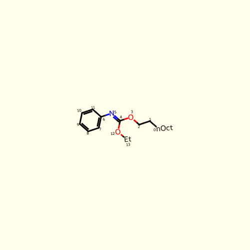 CCCCCCCCCCOC(=Nc1ccccc1)OCC